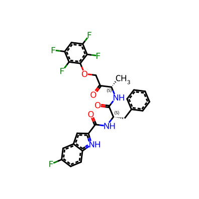 C[C@H](NC(=O)[C@H](Cc1ccccc1)NC(=O)c1cc2cc(F)ccc2[nH]1)C(=O)COc1c(F)c(F)cc(F)c1F